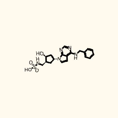 O=S(=O)(O)NC[C@@H]1C[C@@H](n2ccc3c(NCc4ccccc4)ncnc32)C[C@@H]1O